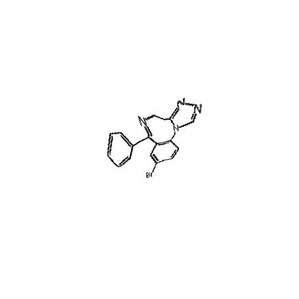 Brc1ccc2c(c1)C(c1ccccc1)=NCc1nncn1-2